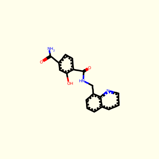 NC(=O)c1ccc(C(=O)NCc2cccc3cccnc23)c(O)c1